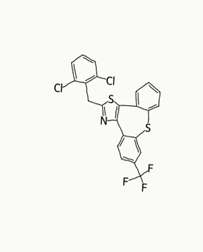 FC(F)(F)c1ccc2c(c1)Sc1ccccc1-c1sc(Cc3c(Cl)cccc3Cl)nc1-2